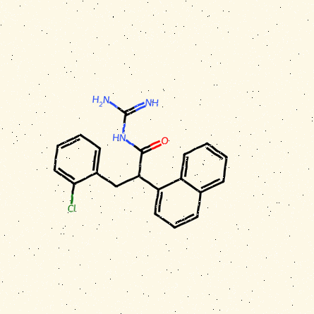 N=C(N)NC(=O)C(Cc1ccccc1Cl)c1cccc2ccccc12